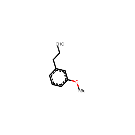 CCCCOc1cccc(CC[C]=O)c1